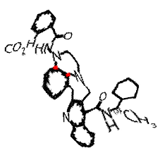 C[C@H](NC(=O)c1c(CN2CCN(NC(=O)c3ccccc3C(=O)O)CC2)c(-c2ccccc2)nc2ccccc12)C1CCCCC1